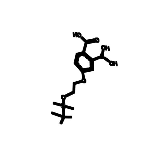 CC(C)(C)[Si](C)(C)OCCOc1ccc(C(=O)O)c(B(O)O)c1